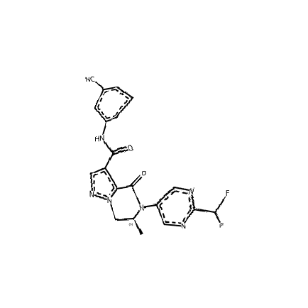 C[C@H]1Cn2ncc(C(=O)Nc3cccc(C#N)c3)c2C(=O)N1c1cnc(C(F)F)nc1